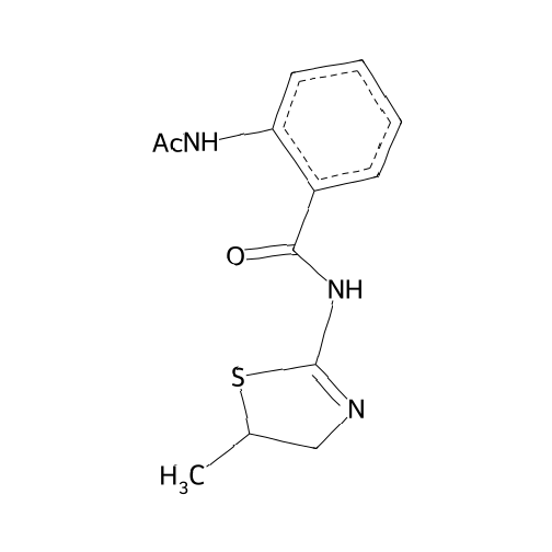 CC(=O)Nc1ccccc1C(=O)NC1=NCC(C)S1